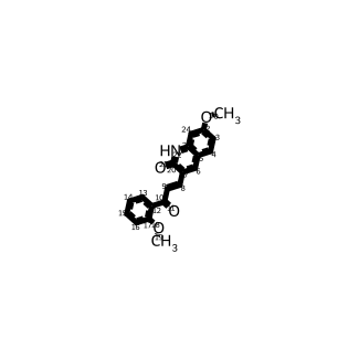 COc1ccc2cc(C=CC(=O)c3ccccc3OC)c(=O)[nH]c2c1